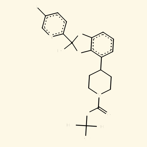 CC(C)(C)OC(=O)N1CCC(c2cccc3c2OC(C)(c2ccc(Cl)cn2)O3)CC1